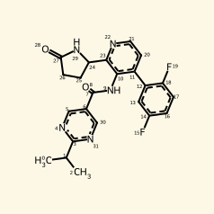 CC(C)c1ncc(C(=O)Nc2c(-c3cc(F)ccc3F)ccnc2C2CCC(=O)N2)cn1